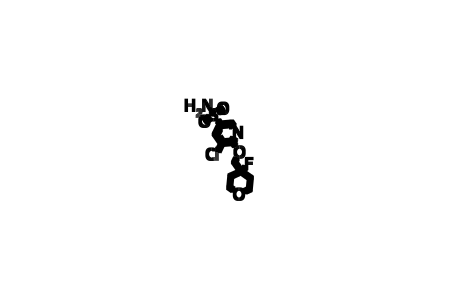 NS(=O)(=O)c1cnc(OCC2(F)CCOCC2)c(Cl)c1